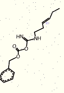 CC/C=C/CCNC(=N)OC(=O)OCc1ccccc1